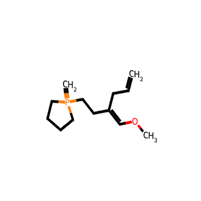 C=CC/C(=C\OC)CCP1(=C)CCCC1